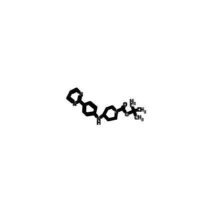 CC(C)(C)OC(=O)N1CCC(Nc2ccc(-c3ncccn3)cc2)CC1